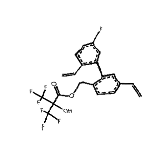 C=Cc1ccc(COC(=O)C(O)(C(F)(F)F)C(F)(F)F)c(-c2cc(F)ccc2C=C)c1